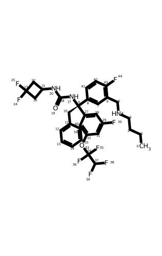 CCCCNCc1cc([C@@](Cc2ccccc2)(NC(=O)NC2CC(F)(F)C2)c2cc(F)cc(OC(F)(F)C(F)F)c2)ccc1F